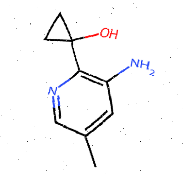 Cc1cnc(C2(O)CC2)c(N)c1